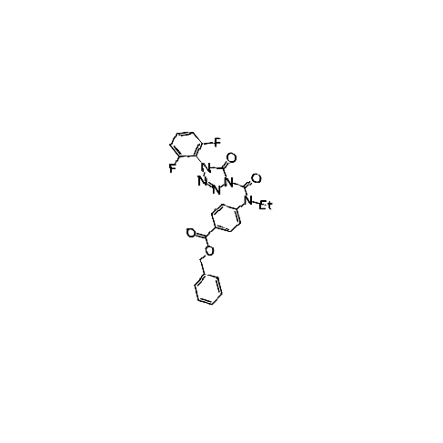 CCN(C(=O)n1nnn(-c2c(F)cccc2F)c1=O)c1ccc(C(=O)OCc2ccccc2)cc1